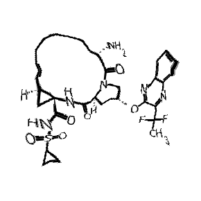 CC(F)(F)c1nc2ccccc2nc1O[C@@H]1C[C@H]2C(=O)N[C@]3(C(=O)NS(=O)(=O)C4CC4)C[C@H]3/C=C\CCCCC[C@H](N)C(=O)N2C1